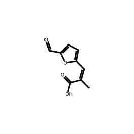 CC(=Cc1ccc(C=O)o1)C(=O)O